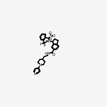 O=C(NCCC1CCN(c2ccncc2)CC1)c1ccc2c(c1)C(NC(c1ccccc1C(F)(F)F)[SH](=O)=O)CC2